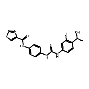 CC(O)c1ccc(NC(=S)Nc2ccc(NC(=O)c3csnn3)cc2)cc1Cl